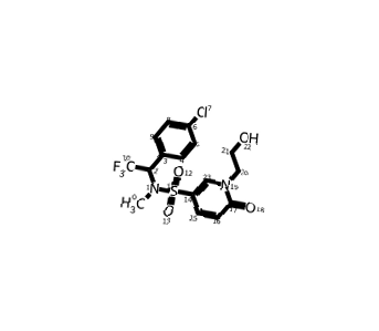 CN(C(c1ccc(Cl)cc1)C(F)(F)F)S(=O)(=O)c1ccc(=O)n(CCO)c1